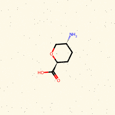 N[C@@H]1CC[C@@H](C(=O)O)OC1